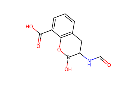 O=CNC1Cc2cccc(C(=O)O)c2OB1O